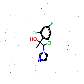 CC(O)(c1ccc(F)cc1F)C(Cl)n1ccnc1